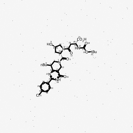 CCCCC1CN(C(=O)[C@@H]2C[C@@H](O)CN2C(=O)C[C@@H](NC(=O)OC(C)(C)C)C(=O)O)Cc2c1nc(-c1ccc(Cl)cc1)[nH]c2=O